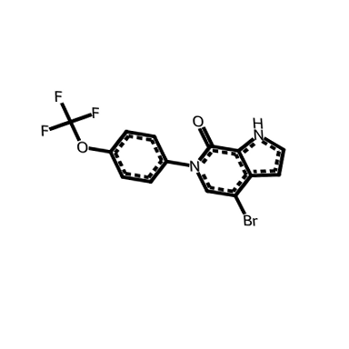 O=c1c2[nH]ccc2c(Br)cn1-c1ccc(OC(F)(F)F)cc1